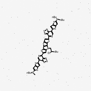 CCCCC(CC)Cn1c2cc(-c3ncc(-c4cc5sc(N(C)CCCC)cc5s4)c4nsnc34)sc2c2sc3cc(-c4ncc(-c5cc6sc(N(CCCC)CCCC)cc6s5)c5nsnc45)sc3c21